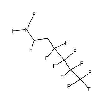 FC(CC(F)(F)C(F)(F)C(F)(F)C(F)(F)F)N(F)F